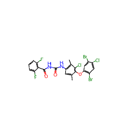 Cc1cc(NC(=O)NC(=O)c2c(F)cccc2F)c(C)c(Cl)c1Oc1cc(Br)c(Cl)cc1Br